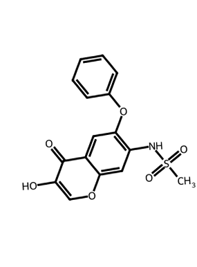 CS(=O)(=O)Nc1cc2occ(O)c(=O)c2cc1Oc1ccccc1